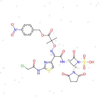 CC(C)(O/N=C(\C(=O)N[C@@H]1C(=O)N(S(=O)(=O)O)[C@@H]1N1C(=O)CCC1=O)c1csc(NC(=O)CCl)n1)C(=O)OCc1ccc([N+](=O)[O-])cc1